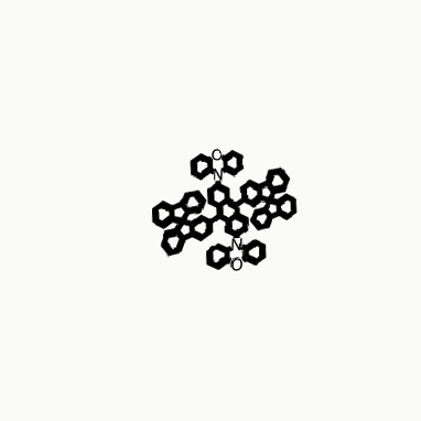 c1ccc2c(c1)Oc1ccccc1N2c1ccc2c(-c3ccc4c(c3)C3(c5ccccc5-c5ccccc53)c3ccccc3-4)c3cc(N4c5ccccc5Oc5ccccc54)ccc3c(-c3ccc4c(c3)C3(c5ccccc5-c5ccccc53)c3ccccc3-4)c2c1